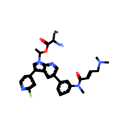 CCC(C)C(N)C(=O)OC(C)n1cc(-c2ccnc(F)c2)c2cc(-c3cccc(N(C)C(=O)/C=C/CN(C)C)c3)cnc21